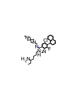 C=Nc1c(/C(=N\CN2CC3(CN(C)C3)C2)NCCCCC(N)CC)cc(Cl)c(-c2cccc3ccccc23)c1F